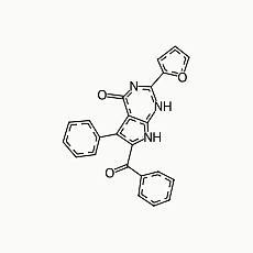 O=C(c1ccccc1)c1[nH]c2[nH]c(-c3ccco3)nc(=O)c2c1-c1ccccc1